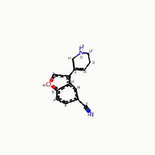 N#Cc1ccc2occ(C3=CCCNC3)c2c1